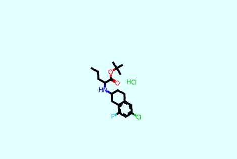 CCCC(NC1CCc2cc(Cl)cc(F)c2C1)C(=O)OC(C)(C)C.Cl